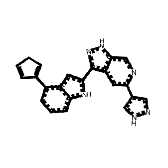 C1=CC(c2cccc3[nH]c(-c4n[nH]c5cnc(-c6cn[nH]c6)cc45)cc23)=CC1